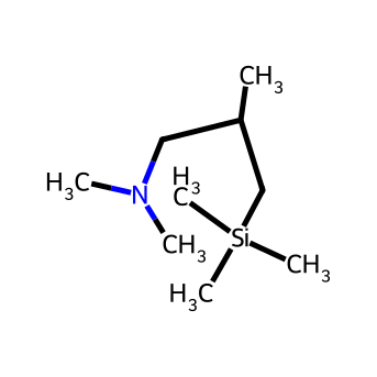 CC(CN(C)C)C[Si](C)(C)C